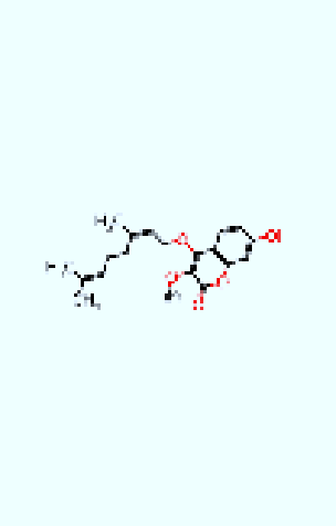 CC(C)=CCCC(C)=CCOc1c(OC(C)C)c(=O)oc2cc(O)ccc12